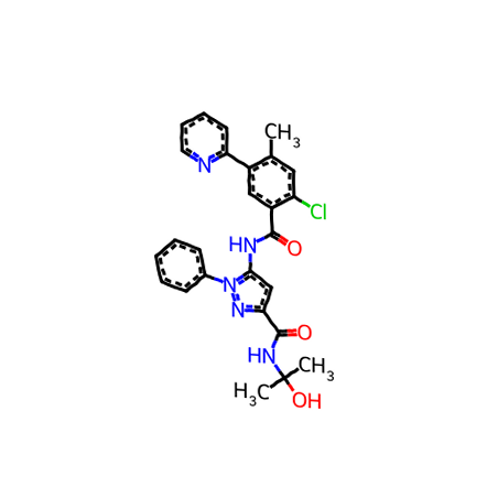 Cc1cc(Cl)c(C(=O)Nc2cc(C(=O)NC(C)(C)O)nn2-c2ccccc2)cc1-c1ccccn1